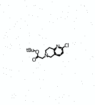 CC(C)(C)OC(=O)CN1CCc2nc(Cl)ccc2C1